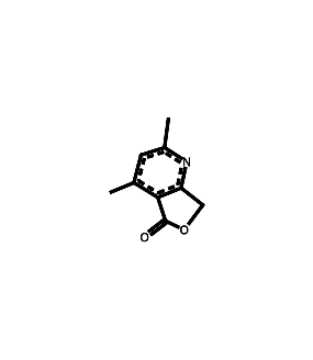 Cc1cc(C)c2c(n1)COC2=O